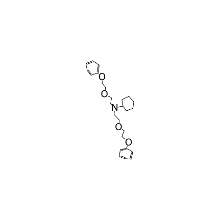 c1ccc(OCCOCCN(CCOCCOc2ccccc2)C2CCCCC2)cc1